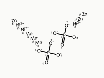 O=P([O-])([O-])[O-].O=P([O-])([O-])[O-].[Mn].[Mn].[Mn].[Ni+2].[Ni+2].[Ni+2].[Zn].[Zn].[Zn]